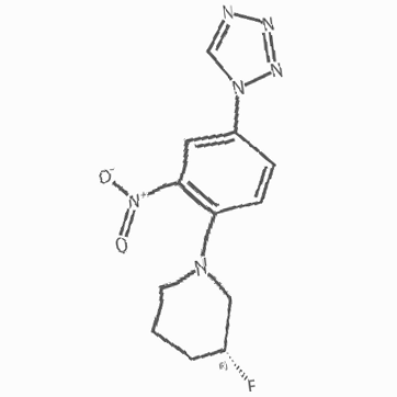 O=[N+]([O-])c1cc(-n2cnnn2)ccc1N1CCC[C@@H](F)C1